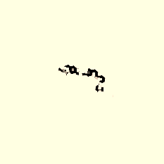 C[C@@H]1CN(c2cccc(-c3ccc4cnc(CNC(=O)c5ccc6c(c5)S(=O)(=O)N(CCO)CC6)cc4n3)n2)C[C@H](C)O1